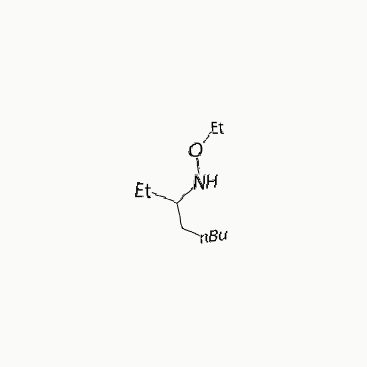 CCCCCC(CC)NOCC